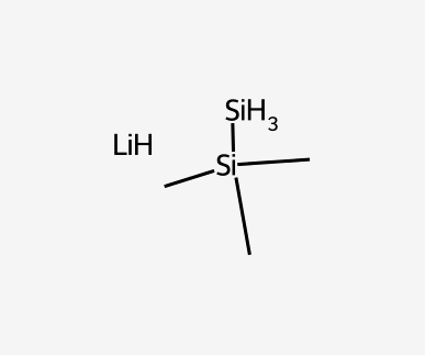 C[Si](C)(C)[SiH3].[LiH]